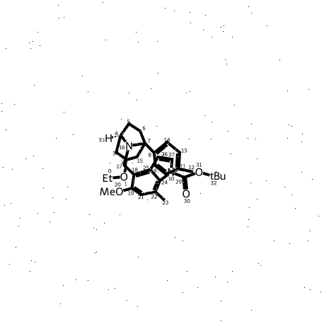 CCO[C@H]1C[C@H]2CCC(c3ccc(C)cc3)(C1)N2Cc1c(OC)cc(C)c2c1ccn2C(=O)OC(C)(C)C